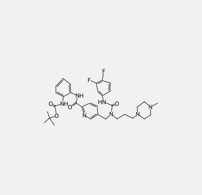 CN1CCN(CCCN(Cc2ccc(C(=O)Nc3ccccc3NC(=O)OC(C)(C)C)nc2)C(=O)Nc2ccc(F)c(F)c2)CC1